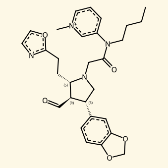 CCCCN(C(=O)CN1C[C@H](c2ccc3c(c2)OCO3)[C@@H](C=O)[C@@H]1CCc1ncco1)c1ccc[n+](C)c1